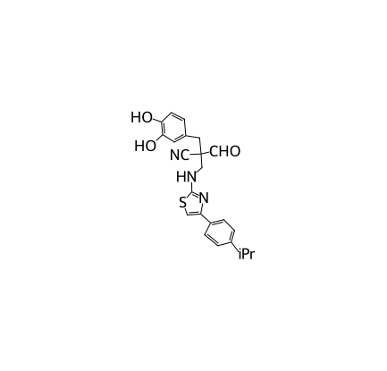 CC(C)c1ccc(-c2csc(NCC(C#N)(C=O)Cc3ccc(O)c(O)c3)n2)cc1